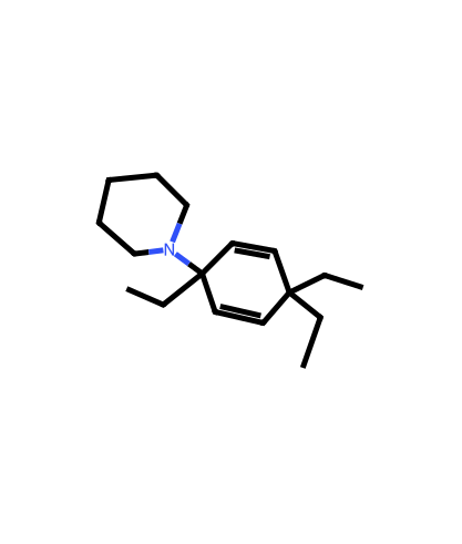 CCC1(CC)C=CC(CC)(N2CCCCC2)C=C1